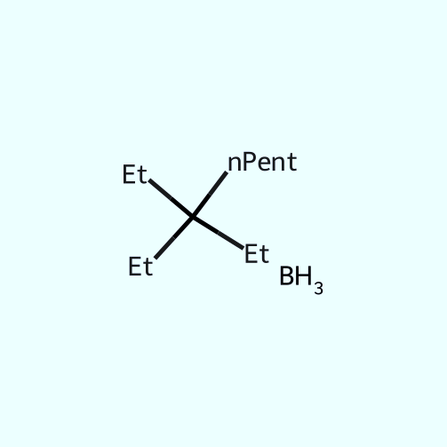 B.CCCCCC(CC)(CC)CC